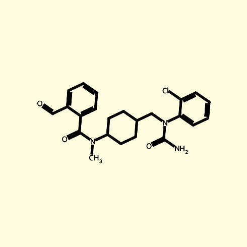 CN(C(=O)c1ccccc1C=O)C1CCC(CN(C(N)=O)c2ccccc2Cl)CC1